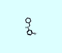 Brc1cccc(NCC2CCCCC2)c1